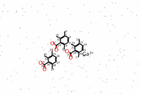 Cc1ccc(C)c(C(=O)[O-])c1C.Cc1ccc(C)c(C(=O)[O-])c1C.Cc1ccc(C)c(C(=O)[O-])c1C.[Ga+3]